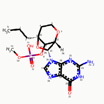 CCC[C@]12CCO[C@@H](C1OP(=O)(O)OC)[C@H](n1cnc3c(=O)[nH]c(N)nc31)O2